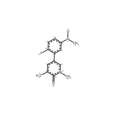 Cc1cc(-c2cc([S+](C)[O-])ccc2F)cn(C)c1=O